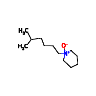 CC(C)CCCC[N+]1([O-])CCCCC1